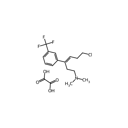 CN(C)CCC(=CCCCl)c1cccc(C(F)(F)F)c1.O=C(O)C(=O)O